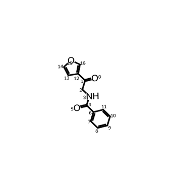 O=C(CNC(=O)c1ccccc1)c1ccoc1